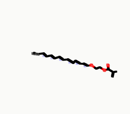 C=C(C)C(=O)OCCO/C=C/C=C/C=C/C=C/C=C/C=C/CCCCCCCCCC